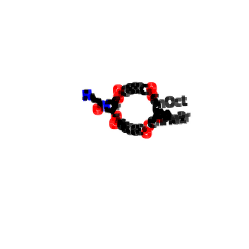 CCCCCCCCC1COC(=O)CCCCCC(=O)OCC2(CCN(C(=O)CCCN(C)C)CC2)COC(=O)CCCCCC(=O)OCC(CCCCCC)C2(C1)CC1(CC(CCC)C1)C2